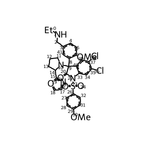 CCNCc1ccc(OC)c(C2(N3CCCC3c3ncco3)C(=O)N(S(=O)(=O)c3ccc(OC)cc3)c3cc(Cl)c(Cl)cc32)c1